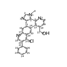 Cn1cncc1-c1nccc(CO)c1-c1ccc2ncc(-c3ccccc3)c(Cl)c2c1